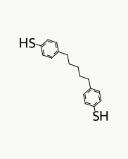 Sc1ccc(CCCCCc2ccc(S)cc2)cc1